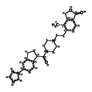 Cc1c(CCN2CCN(C(=O)C3CCc4cc(-n5cncn5)ccc43)CC2)ccc2c1COC2=O